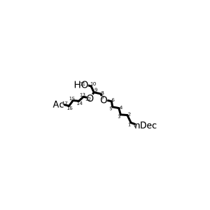 CCCCCCCCCCCCCCCCOCC(CO)OCCCCC(C)=O